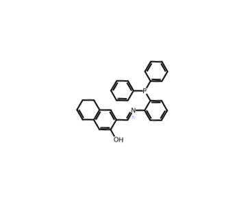 Oc1cc2c(cc1/C=N/c1ccccc1P(c1ccccc1)c1ccccc1)CCC=C2